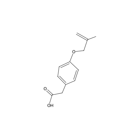 C=C(C)COc1ccc(CC(=O)O)cc1